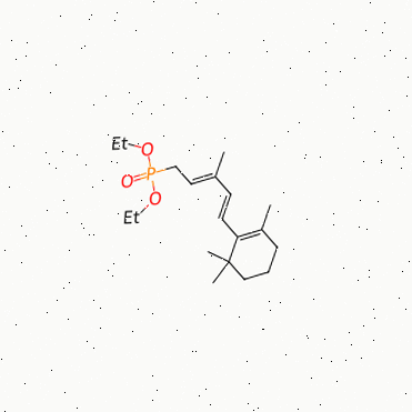 CCOP(=O)(CC=C(C)C=CC1=C(C)CCCC1(C)C)OCC